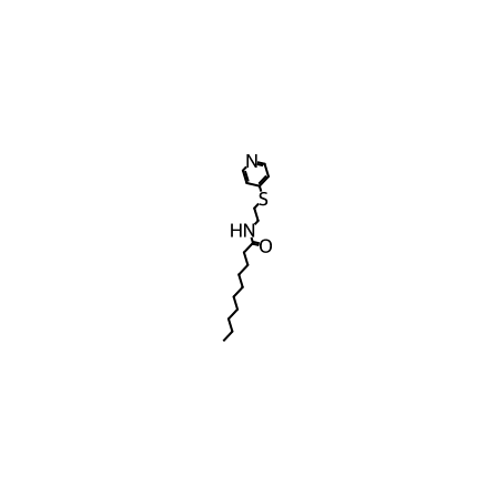 CCCCCCCCCC(=O)NCCSc1ccncc1